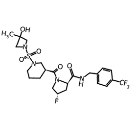 CC1(O)CN(S(=O)(=O)N2CCC[C@H](C(=O)N3C[C@@H](F)C[C@@H]3C(=O)NCc3ccc(C(F)(F)F)cc3)C2)C1